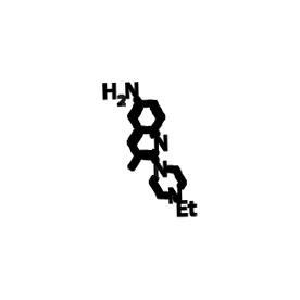 CCN1CCN(c2nc3ccc(N)cc3cc2C)CC1